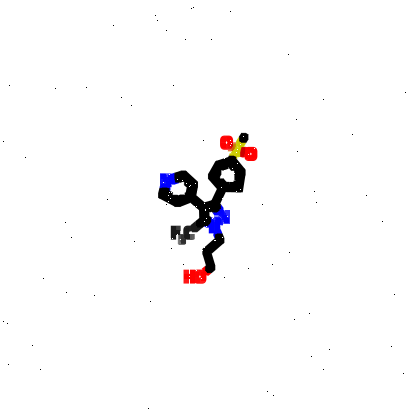 CS(=O)(=O)c1ccc(-c2nn(CCCO)c(C(F)(F)F)c2-c2ccncc2)cc1